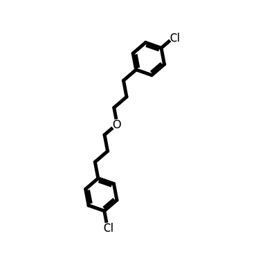 Clc1ccc(CCCOCCCc2ccc(Cl)cc2)cc1